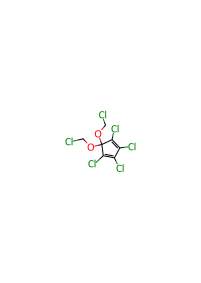 ClCOC1(OCCl)C(Cl)=C(Cl)C(Cl)=C1Cl